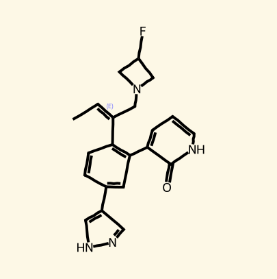 C/C=C(/CN1CC(F)C1)c1ccc(-c2cn[nH]c2)cc1-c1ccc[nH]c1=O